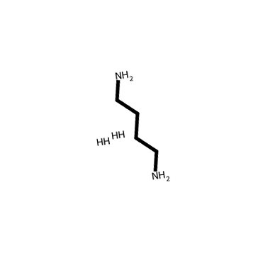 NCCCCN.[HH].[HH]